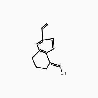 C=Cc1ccc2c(c1)CCCC2=NO